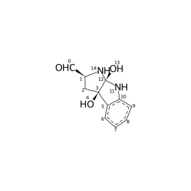 O=C[C@@H]1C[C@@]2(O)c3ccccc3N[C@@]2(O)N1